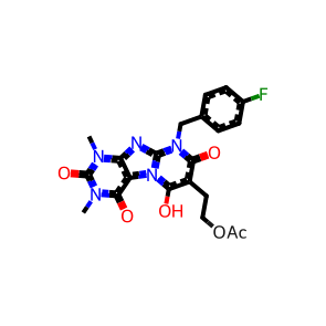 CC(=O)OCCc1c(O)n2c3c(=O)n(C)c(=O)n(C)c3nc2n(Cc2ccc(F)cc2)c1=O